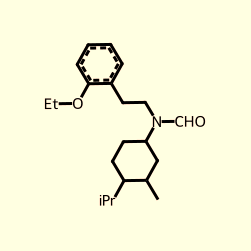 CCOc1ccccc1CCN(C=O)C1CCC(C(C)C)C(C)C1